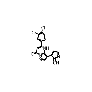 Cn1nccc1-c1cnn2c(=O)cc(-c3ccc(Cl)c(Cl)c3)[nH]c12